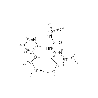 COc1cc(OC)nc(NC(=O)N=S(=O)=O)n1.FC(F)C(F)Oc1cccnc1